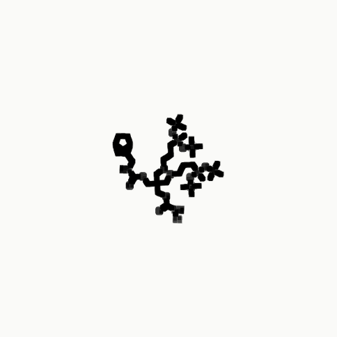 CCNC(=O)OCC(COCCC[Si](C)(O[Si](C)(C)C)O[Si](C)(C)C)(COCCC[Si](C)(O[Si](C)(C)C)O[Si](C)(C)C)COC(=O)NCC1CC2CCC1C2